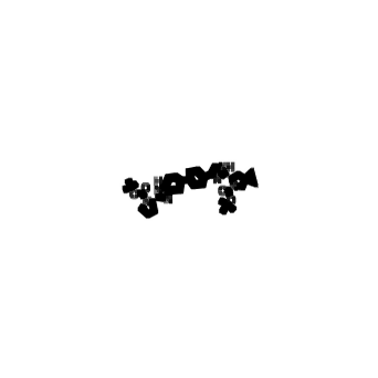 CC(C)(C)OC(=O)N1CC2(CC2)C[C@H]1c1nc(-c2ccc(-c3ccc4[nH]c([C@@H]5CCCN5C(=O)OC(C)(C)C)nc4c3)cc2)c[nH]1